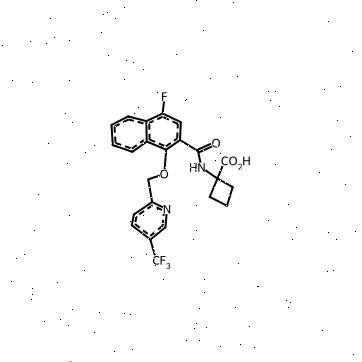 O=C(NC1(C(=O)O)CCC1)c1cc(F)c2ccccc2c1OCc1ccc(C(F)(F)F)cn1